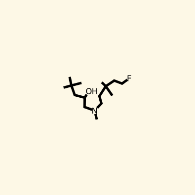 CN(CCC(C)(C)CCF)CC(O)CC(C)(C)C